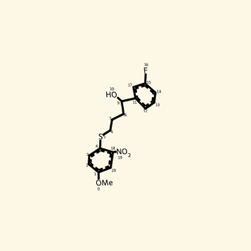 COc1ccc(SCCCC(O)c2cccc(F)c2)c([N+](=O)[O-])c1